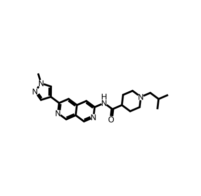 CC(C)CN1CCC(C(=O)Nc2cc3cc(-c4cnn(C)c4)ncc3cn2)CC1